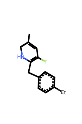 CCc1ccc(CC2=C(F)C=C(C)CN2)cc1